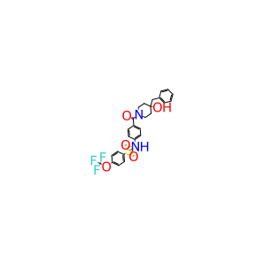 O=C(c1ccc(NS(=O)(=O)c2ccc(OC(F)(F)F)cc2)cc1)N1CCC(O)(Cc2ccccc2)CC1